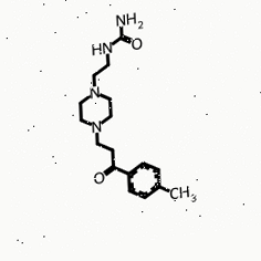 Cc1ccc(C(=O)CCN2CCN(CCNC(N)=O)CC2)cc1